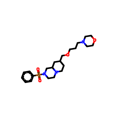 O=S(=O)(c1ccccc1)N1CCN2CCC(COCCCN3CCOCC3)CC2C1